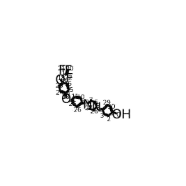 Oc1ccc(N2CCN(c3ccc(Oc4ccc(OC(F)(F)F)cc4)cc3)CC2)cc1